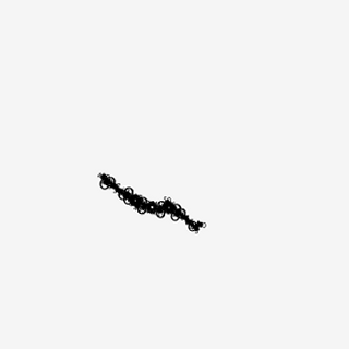 C=CC(=C)OCCCCOC(=O)Oc1ccc(OC(=O)[C@H]2CC[C@H](C(=O)Oc3ccc(OC(=O)OCCCCOC(=O)C=C)cc3C)CC2)c(C)c1